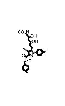 CC(C)c1c(C(=O)NCc2ccc(F)cc2)nn(-c2ccc(F)cc2)c1CC[C@@H](O)C[C@@H](O)CC(=O)O